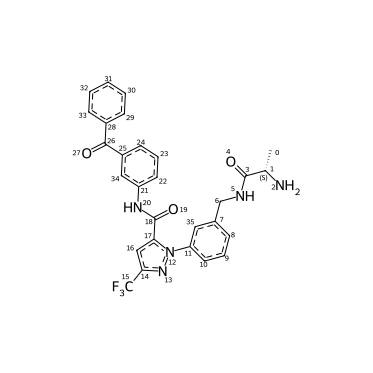 C[C@H](N)C(=O)NCc1cccc(-n2nc(C(F)(F)F)cc2C(=O)Nc2cccc(C(=O)c3ccccc3)c2)c1